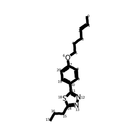 CC=CCCCOc1ccc(-c2nnc(CCC)s2)cc1